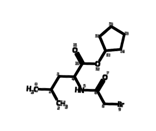 CC(C)CC(NC(=O)CBr)C(=O)OC1CCCC1